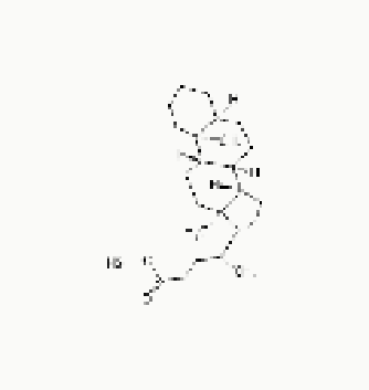 C[C@H](CCC(=O)OS)[C@H]1CC[C@H]2[C@@H]3CC[C@@H]4CCCC[C@]4(C)[C@H]3CC[C@]12C